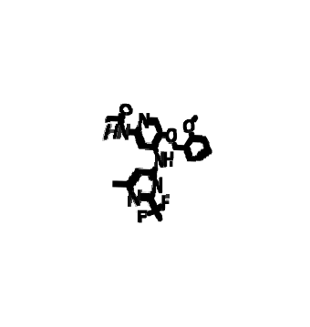 COc1ccccc1COc1cnc(NC(C)=O)cc1Nc1cc(C)nc(C(C)(F)F)n1